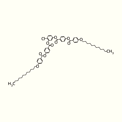 CCCCCCCCCCCCOc1ccc(C(=O)Oc2ccc(C(=O)Oc3ccc(Cl)c(OC(=O)c4ccc(OC(=O)c5ccc(OCCCCCCCCCCCC)cc5)cc4)c3)cc2)cc1